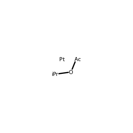 CC(=O)OC(C)C.[Pt]